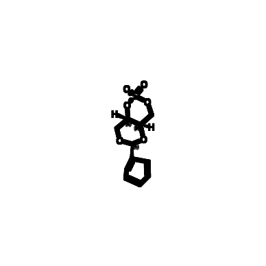 O=S1(=O)OC[C@H]2O[C@@H](c3ccccc3)OC[C@@H]2O1